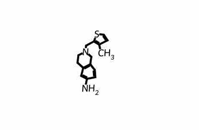 Cc1ccsc1CN1CCc2cc(N)ccc2C1